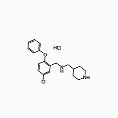 Cl.Clc1ccc(Oc2ccccc2)c(CNCC2CCNCC2)c1